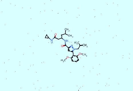 COc1cccc(OC)c1-c1cc(C(=O)NC(CC(=O)NC2CC2)CC(C)C)nn1CC(C)C